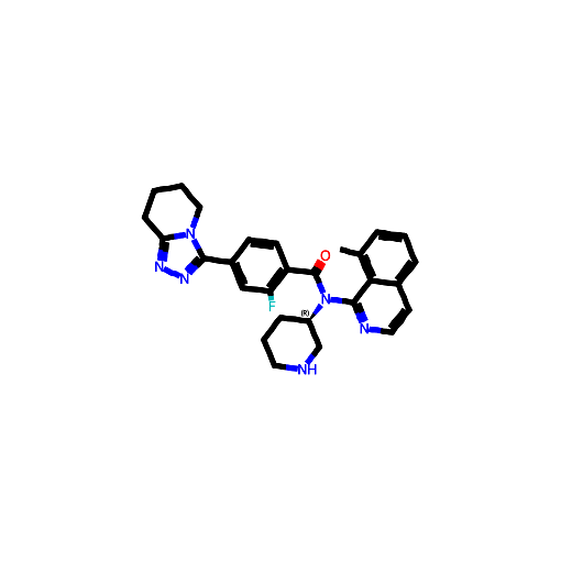 Cc1cccc2ccnc(N(C(=O)c3ccc(-c4nnc5n4CCCC5)cc3F)[C@@H]3CCCNC3)c12